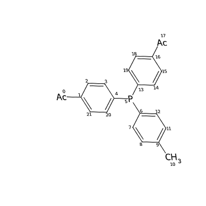 CC(=O)c1ccc(P(c2ccc(C)cc2)c2ccc(C(C)=O)cc2)cc1